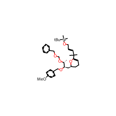 COc1ccc(CO[C@H](C[C@@H]2CCC=C(C(C)(C)C=CCO[Si](C)(C)C(C)(C)C)O2)[C@@H](C)OCOCc2ccccc2)cc1